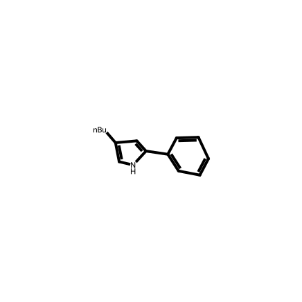 CCCCc1c[nH]c(-c2ccccc2)c1